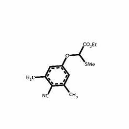 CCOC(=O)C(Oc1cc(C)c(C#N)c(C)c1)SC